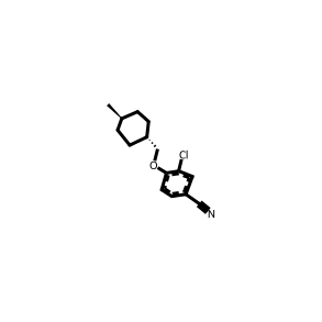 C[C@H]1CC[C@H](COc2ccc(C#N)cc2Cl)CC1